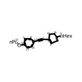 CCCCCCC1CC=C(C#Cc2ccc(OCCC)cc2)CC1